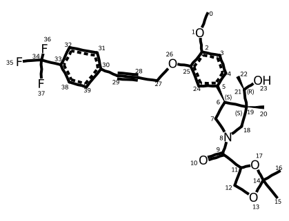 COc1ccc([C@@H]2CN(C(=O)C3COC(C)(C)O3)C[C@@]2(C)[C@@H](C)O)cc1OCC#Cc1ccc(C(F)(F)F)cc1